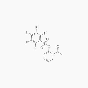 CC(=O)c1ccccc1OS(=O)(=O)c1c(F)c(F)c(F)c(F)c1F